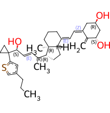 C=C1/C(=C\C=C2/CCC[C@]3(C)[C@@H]([C@H](C)/C=C/[C@H](O)C4(c5cc(CCC)cs5)CC4)CC[C@@H]23)C[C@@H](O)C[C@@H]1O